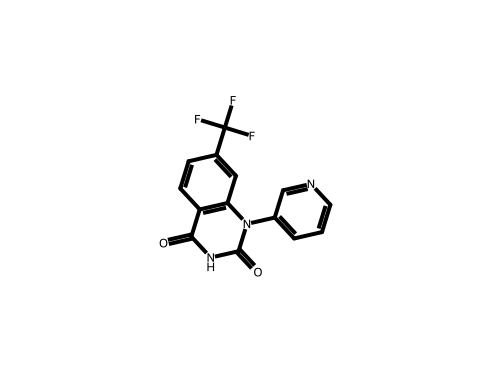 O=c1[nH]c(=O)n(-c2cccnc2)c2cc(C(F)(F)F)ccc12